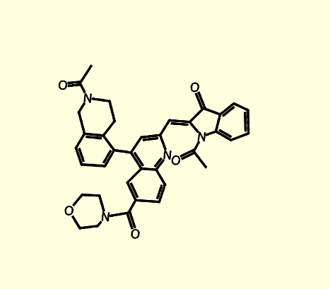 CC(=O)N1CCc2c(cccc2-c2cc(/C=C3/C(=O)c4ccccc4N3C(C)=O)nc3ccc(C(=O)N4CCOCC4)cc23)C1